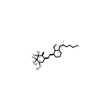 [2H]O[C@]1([2H])C/C(=C/C=C2CCC[C@@]3(C)C2CC[C@@H]3[C@H](C)CCCC(C)C)C(=C)C([2H])([2H])C1([2H])[2H]